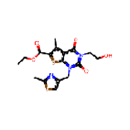 CCOC(=O)c1sc2c(c1C)c(=O)n(CCO)c(=O)n2Cc1csc(C)n1